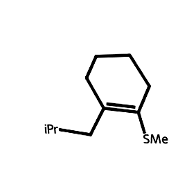 CSC1=C(CC(C)C)CCCC1